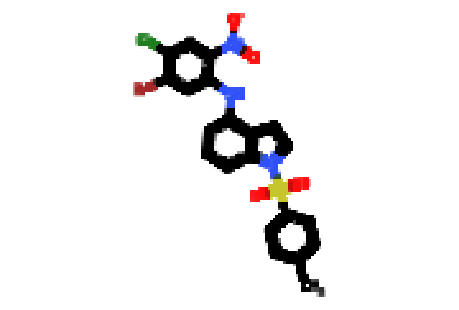 Cc1ccc(S(=O)(=O)n2ccc3c(Nc4cc(Br)c(Cl)cc4[N+](=O)[O-])cccc32)cc1